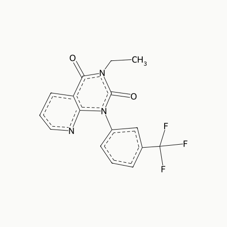 CCn1c(=O)c2cccnc2n(-c2cccc(C(F)(F)F)c2)c1=O